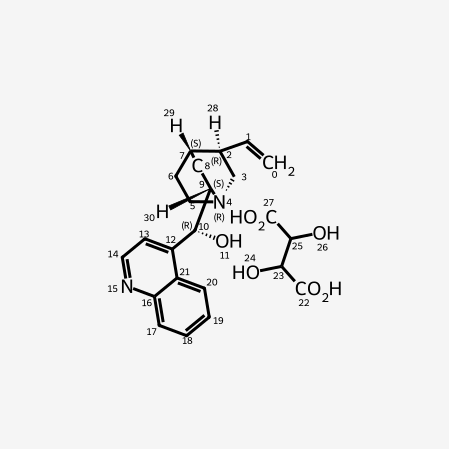 C=C[C@H]1C[N@]2CC[C@H]1C[C@H]2[C@H](O)c1ccnc2ccccc12.O=C(O)C(O)C(O)C(=O)O